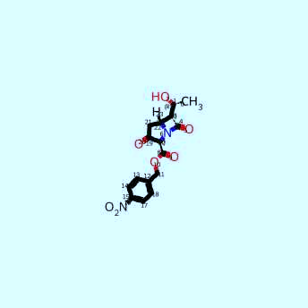 C[C@@H](O)[C@@H]1C(=O)N2[C@@H](C(=O)OCc3ccc([N+](=O)[O-])cc3)C(=O)C[C@H]12